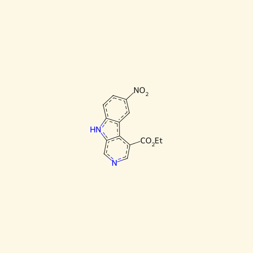 CCOC(=O)c1cncc2[nH]c3ccc([N+](=O)[O-])cc3c12